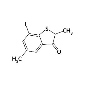 Cc1cc(I)c2c(c1)C(=O)C(C)S2